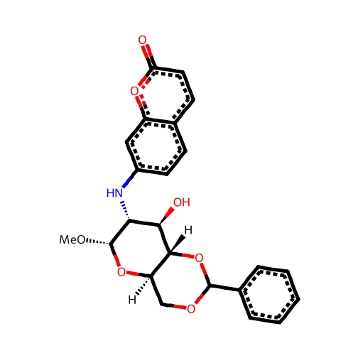 CO[C@H]1O[C@@H]2COC(c3ccccc3)O[C@H]2[C@H](O)[C@H]1Nc1ccc2ccc(=O)oc2c1